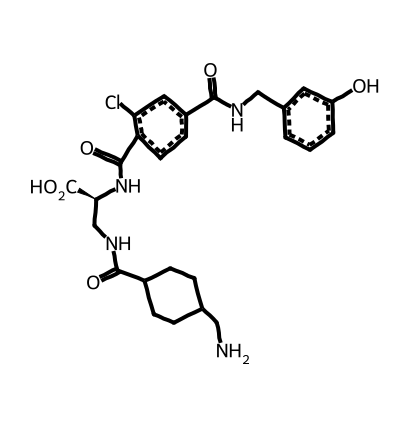 NCC1CCC(C(=O)NC[C@H](NC(=O)c2ccc(C(=O)NCc3cccc(O)c3)cc2Cl)C(=O)O)CC1